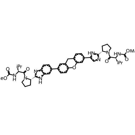 COC(=O)N[C@H](C(=O)N1CCC[C@H]1c1ncc(-c2ccc3c(c2)Oc2ccc(-c4ccc5nc([C@@H]6CCCN6C(=O)[C@@H](NC(=O)OC)C(C)C)[nH]c5c4)cc2C3)[nH]1)C(C)C